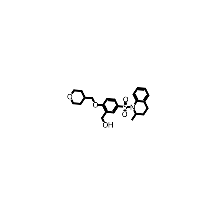 CC1CCc2ccccc2N1S(=O)(=O)c1ccc(OCC2CCOCC2)c(CO)c1